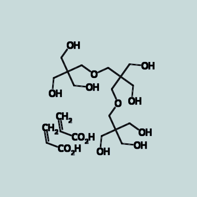 C=CC(=O)O.C=CC(=O)O.OCC(CO)(CO)COCC(CO)(CO)COCC(CO)(CO)CO